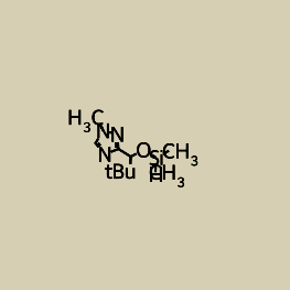 Cn1cnc(C(O[SiH](C)C)C(C)(C)C)n1